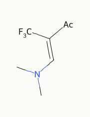 CC(=O)/C(=C/N(C)C)C(F)(F)F